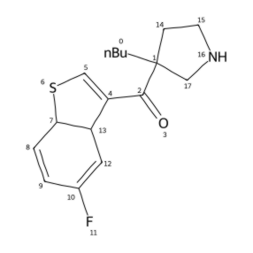 CCCCC1(C(=O)C2=CSC3C=CC(F)=CC23)CCNC1